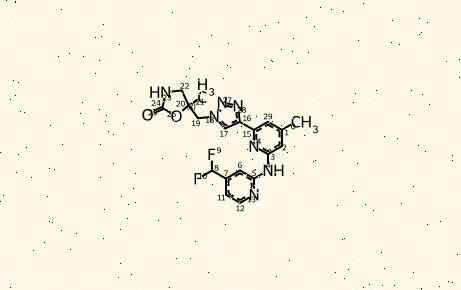 Cc1cc(Nc2cc(C(F)F)ccn2)nc(-c2cn(C[C@@]3(C)CNC(=O)O3)nn2)c1